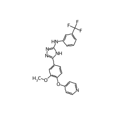 COc1cc(-c2nnc(Nc3cccc(C(F)(F)F)c3)[nH]2)ccc1Oc1ccncc1